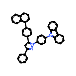 c1ccc(-c2cc(-c3ccc(-c4cccc5ccccc45)cc3)n(-c3ccc(-n4c5ccccc5c5ccccc54)cc3)n2)cc1